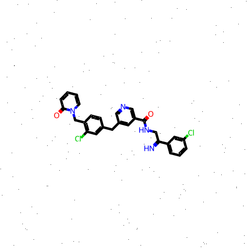 N=C(CNC(=O)c1cncc(Cc2ccc(Cn3ccccc3=O)c(Cl)c2)c1)c1cccc(Cl)c1